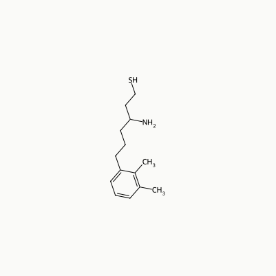 Cc1cccc(CCCC(N)CCS)c1C